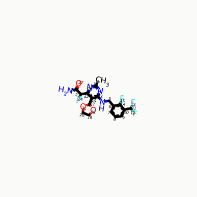 Cc1nc(NCc2cccc(C(F)F)c2F)c(C2OCCO2)c(C(F)C(N)=O)n1